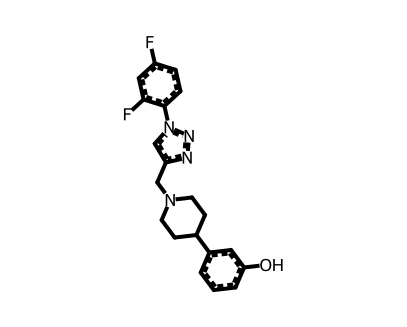 Oc1cccc(C2CCN(Cc3cn(-c4ccc(F)cc4F)nn3)CC2)c1